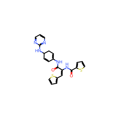 O=C(NC1=CCC(Nc2ncccn2)C=C1)/C(=C\c1cccs1)NC(=O)c1cccs1